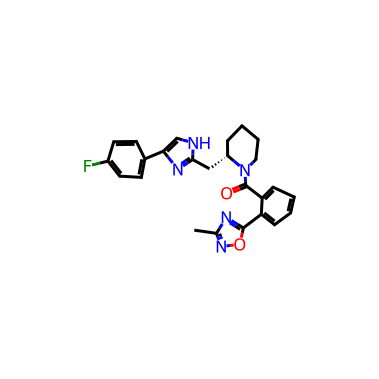 Cc1noc(-c2ccccc2C(=O)N2CCCC[C@H]2Cc2nc(-c3ccc(F)cc3)c[nH]2)n1